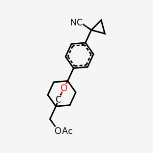 CC(=O)OCC12CCC(c3ccc(C4(C#N)CC4)cc3)(CC1)OC2